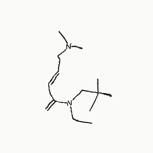 C=C(/C=C/CN(C)C)N(CC)CC(C)(C)C